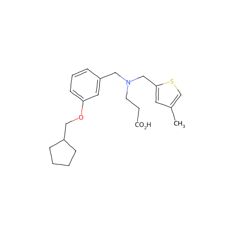 Cc1csc(CN(CCC(=O)O)Cc2cccc(OCC3CCCC3)c2)c1